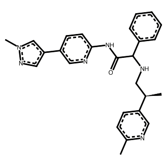 Cc1ccc([C@H](C)CNC(C(=O)Nc2ccc(-c3cnn(C)c3)cn2)c2ccccc2)cn1